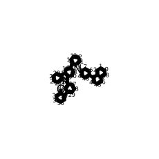 c1ccc2c(-c3ccc(-n4c5ccccc5c5cc6c7ccccc7n(-c7cccc8c7oc7ccccc78)c6cc54)cc3)cccc2c1